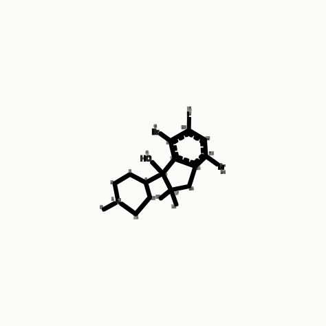 CN1CCC(C2(O)c3c(Br)c(F)cc(Br)c3CC2(C)C)CC1